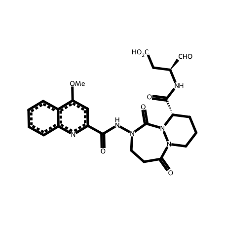 COc1cc(C(=O)NN2CCC(=O)N3CCC[C@@H](C(=O)N[C@H](C=O)CC(=O)O)N3C2=O)nc2ccccc12